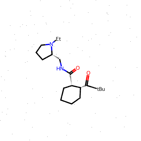 CCN1CCC[C@H]1CNC(=O)[C@H]1CCCC[C@H]1C(=O)C(C)(C)C